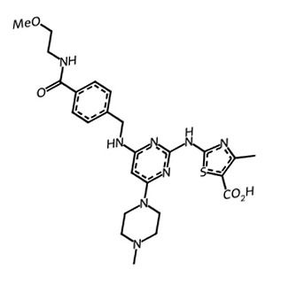 COCCNC(=O)c1ccc(CNc2cc(N3CCN(C)CC3)nc(Nc3nc(C)c(C(=O)O)s3)n2)cc1